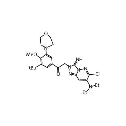 CCN(CC)c1cc2nn(CC(=O)c3cc(N4CCOCC4)c(OC)c(C(C)(C)C)c3)c(=N)n2nc1Cl